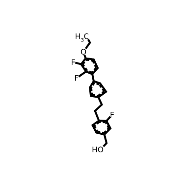 CCOc1ccc(-c2ccc(CCc3ccc(CO)cc3F)cc2)c(F)c1F